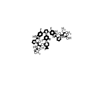 COC(=O)N[C@H](C(=O)N1CCC[C@H]1c1nc2cc([C@H]3CC[C@H](c4cc5nc([C@@H]6CCCN6C(=O)[C@@H](NC(=O)O)C(C)C)[nH]c5cc4F)N3c3cc(F)c(N4CCC5(CC4)CC5)c(F)c3)c(F)cc2[nH]1)C(C)C